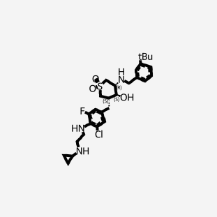 CC(C)(C)c1cccc(CN[C@H]2CS(=O)(=O)C[C@@H](Cc3cc(F)c(NCCNC4CC4)c(Cl)c3)[C@@H]2O)c1